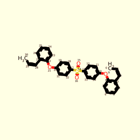 C/C=C\c1ccccc1Oc1ccc(S(=O)(=O)c2ccc(Oc3ccccc3/C=C\C)cc2)cc1